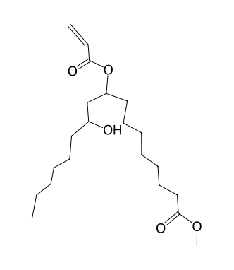 C=CC(=O)OC(CCCCCCCC(=O)OC)CC(O)CCCCCC